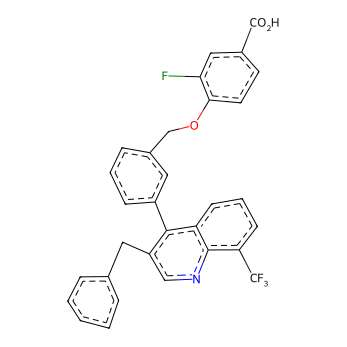 O=C(O)c1ccc(OCc2cccc(-c3c(Cc4ccccc4)cnc4c(C(F)(F)F)cccc34)c2)c(F)c1